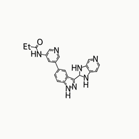 CCC(=O)Nc1cncc(-c2ccc3[nH]nc(C4Nc5ccncc5N4)c3c2)c1